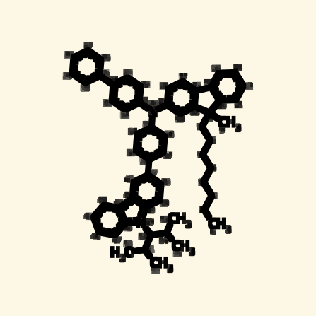 CCCCCCCCC1(C)c2ccccc2-c2ccc(N(c3ccc(-c4ccccc4)cc3)c3ccc(-c4ccc5c(c4)c4ccccc4n5C(C(C)C)C(C)C)cc3)cc21